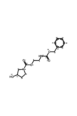 O=C(NCCOC(=O)N1CCC(O)C1)OCc1ccccc1